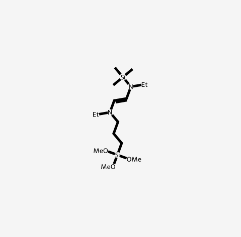 CCN(/C=C/N(CC)[Si](C)(C)C)CCC[Si](OC)(OC)OC